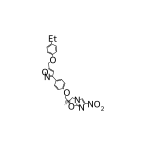 CCc1ccc(OCc2cc(-c3ccc(OC[C@@]4(C)Cn5cc([N+](=O)[O-])nc5O4)cc3)no2)cc1